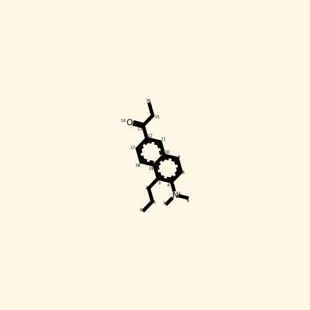 CCCc1c(N(C)C)ccc2cc(C(=O)CC)ccc12